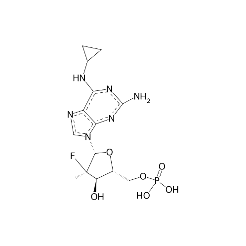 C[C@@]1(F)[C@H](O)[C@@H](COP(=O)(O)O)O[C@H]1n1cnc2c(NC3CC3)nc(N)nc21